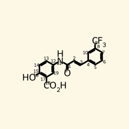 O=C(C=Cc1cccc(C(F)(F)F)c1)Nc1ccc(O)c(C(=O)O)c1